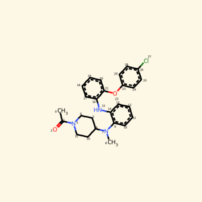 CC(=O)N1CCC(N(C)c2ccccc2Nc2ccccc2Oc2ccc(Cl)cc2)CC1